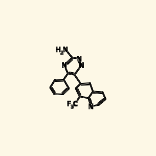 Nc1nnc(-c2cc(C(F)(F)F)c3ncccc3c2)c(-c2ccccc2)n1